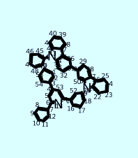 c1ccc(-c2cc(-c3ccccc3)nc(-c3cccc(-n4c5ccccc5c5ccc(-c6ccc7c(c6)c6ccccc6n7-c6ccccc6)cc54)c3)c2)cc1